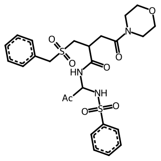 CC(=O)C(NC(=O)C(CC(=O)N1CCOCC1)CS(=O)(=O)Cc1ccccc1)NS(=O)(=O)c1ccccc1